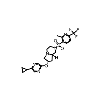 Cc1nc(C(F)(F)F)ccc1S(=O)(=O)N1CCN2C[C@@H](Oc3cnc(C4CC4)cn3)C[C@H]2C1